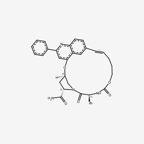 CC(C)[C@@H]1NC(=O)OCCC/C=C/c2ccc3nc(-c4ccccc4)cc(c3c2)O[C@@H]2C[C@@H](C(N)=O)N(C2)C1=O